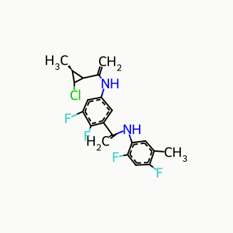 C=C(Nc1cc(C)c(F)cc1F)c1cc(NC(=C)C2C(Cl)[C@H]2C)cc(F)c1F